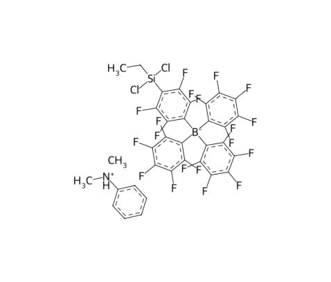 CC[Si](Cl)(Cl)c1c(F)c(F)c([B-](c2c(F)c(F)c(F)c(F)c2F)(c2c(F)c(F)c(F)c(F)c2F)c2c(F)c(F)c(F)c(F)c2F)c(F)c1F.C[NH+](C)c1ccccc1